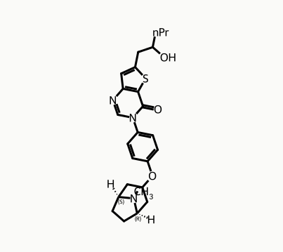 CCCC(O)Cc1cc2ncn(-c3ccc(OC4C[C@H]5CC[C@@H](C4)N5C)cc3)c(=O)c2s1